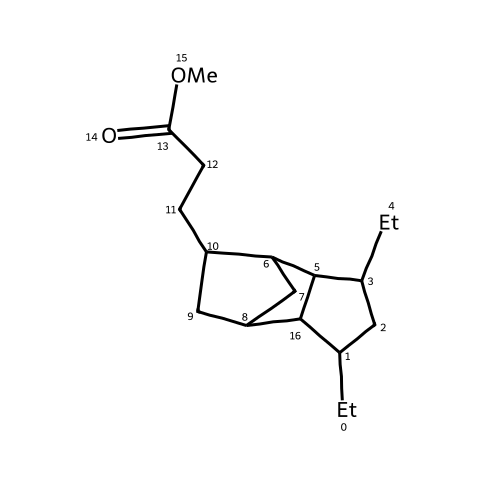 CCC1CC(CC)C2C3CC(CC3CCC(=O)OC)C12